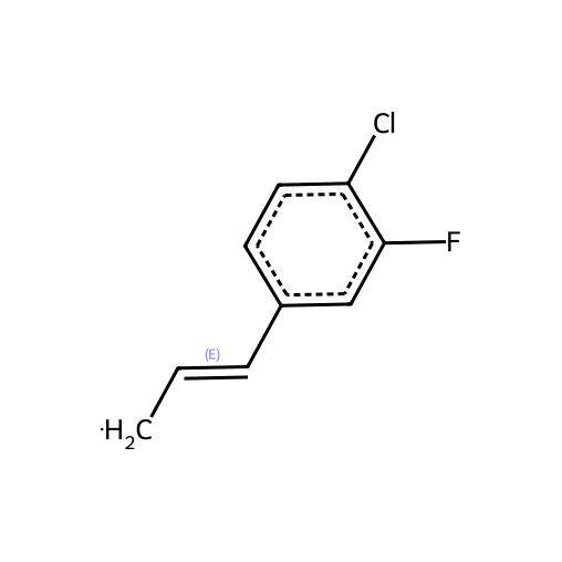 [CH2]/C=C/c1ccc(Cl)c(F)c1